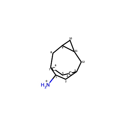 NC1CC2CCCC1CC1CC1C2